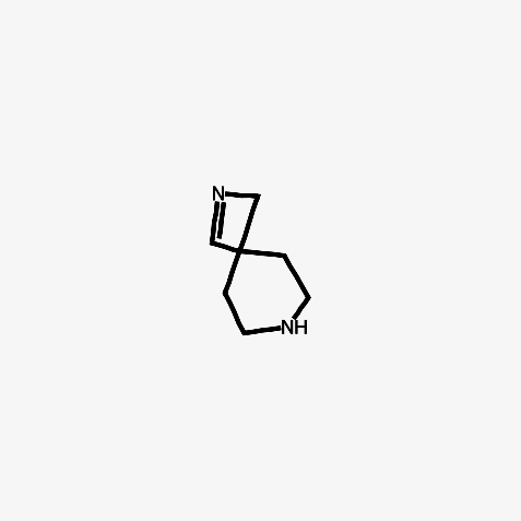 C1=NCC12CCNCC2